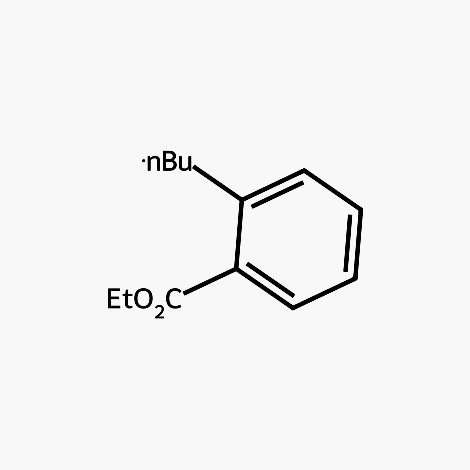 CCC[CH]c1ccccc1C(=O)OCC